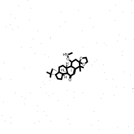 C[SiH](C)OC1CC2(OCCO2)C(C)(C)C2=CC(=O)[C@H]3[C@@H]4CC[C@H](C(C)(C)C)[C@@]4(C)CC[C@@H]3[C@]21C